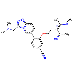 CN/C(C)=C(/CCOc1cc(C#N)ccc1-c1ccc2nnc(CN(C)C)n2c1)C(C)=N